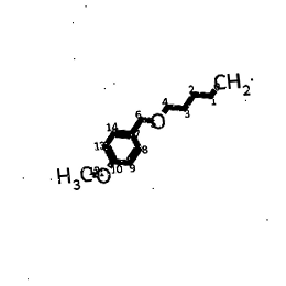 [CH2]CCCCOCc1ccc(OC)cc1